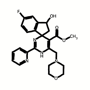 COC(=O)C1=C(CN2CCOCC2)NC(c2ccccn2)=NC12CC(O)c1cc(F)ccc12